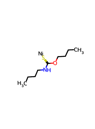 CCCCNC(=S)OCCCC.[Ni]